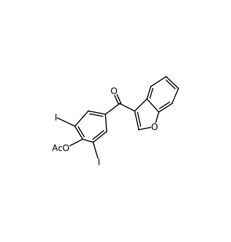 CC(=O)Oc1c(I)cc(C(=O)c2coc3ccccc23)cc1I